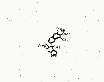 COc1nc2ccc(C(O)(c3cnnn3C)C3CN(C(C)=O)C3)cc2c(Cl)c1OC